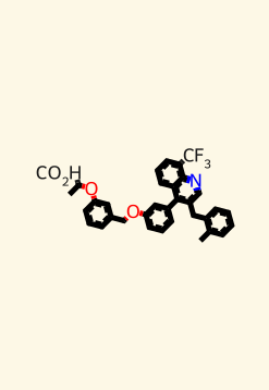 Cc1ccccc1Cc1cnc2c(C(F)(F)F)cccc2c1-c1cccc(OCc2cccc(OC(C)C(=O)O)c2)c1